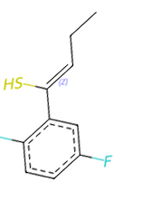 CC/C=C(\S)c1cc(F)ccc1F